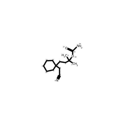 CC(C)(CCC1(CC#N)CCCCC1)OC(N)=O